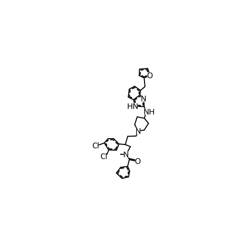 CN(CC(CCN1CCC(Nc2nc3c(Cc4ccco4)cccc3[nH]2)CC1)c1ccc(Cl)c(Cl)c1)C(=O)c1ccccc1